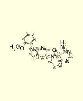 COc1ccccc1-n1ccc2cc(N3CCOc4ncnc(N)c4C3=O)cnc21